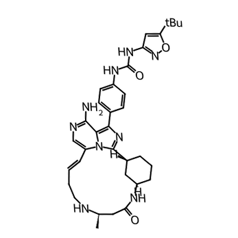 C[C@@H]1CC(=O)N[C@@H]2CCC[C@H](C2)c2nc(-c3ccc(NC(=O)Nc4cc(C(C)(C)C)on4)cc3)c3c(N)ncc(n23)/C=C/CCN1